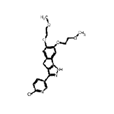 COCCOc1cc2c(cc1OCCOC)-c1[nH]nc(-c3ccc(Cl)nc3)c1C2